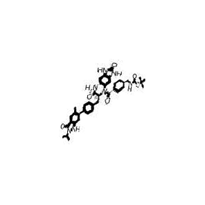 Cc1cc2c(=O)n(C(C)C)[nH]c2cc1-c1ccc(C[C@@H](C(N)=O)N(c2ccc3[nH]c(=O)[nH]c3c2)C(=O)[C@H]2CC[C@H](CNC(=O)OC(C)(C)C)CC2)cc1